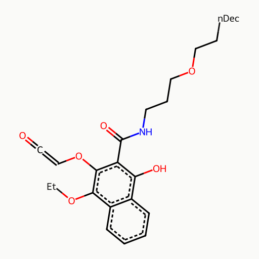 CCCCCCCCCCCCOCCCNC(=O)c1c(OC=C=O)c(OCC)c2ccccc2c1O